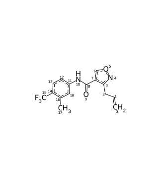 C=CCc1nocc1C(=O)Nc1ccc(C(F)(F)F)c(C)c1